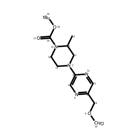 CC1CN(c2cnc(COC=O)cn2)CCN1C(=O)OC(C)(C)C